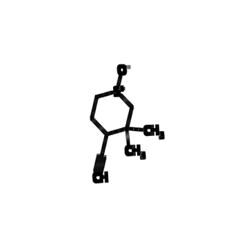 C#CC1CC[S+]([O-])CC1(C)C